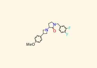 COc1ccc(C2CN(C3CCN(Cc4ccc(F)c(F)c4)C3=O)C2)cc1